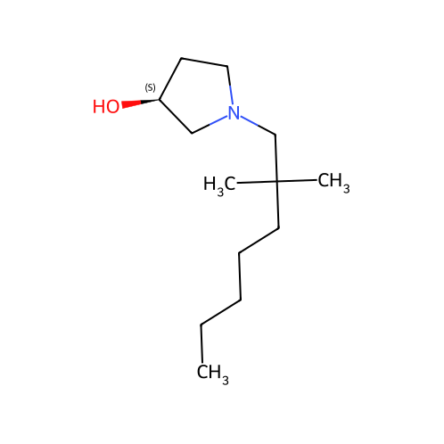 CCCCCC(C)(C)CN1CC[C@H](O)C1